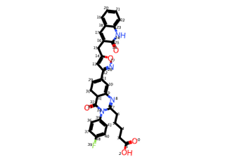 O=C(O)CCCCC1=NC2=CC(c3cc(Cc4cc5ccccc5[nH]c4=O)on3)=CCC2C(=O)N1c1ccc(F)cc1